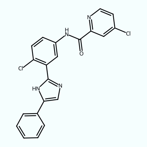 O=C(Nc1ccc(Cl)c(-c2ncc(-c3ccccc3)[nH]2)c1)c1cc(Cl)ccn1